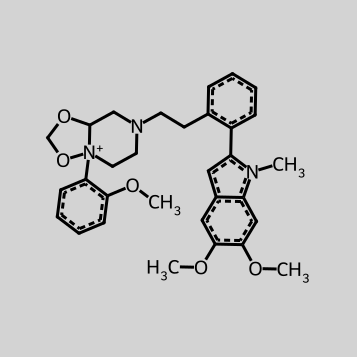 COc1cc2cc(-c3ccccc3CCN3CC[N+]4(c5ccccc5OC)OCOC4C3)n(C)c2cc1OC